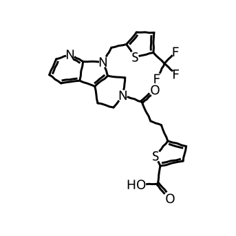 O=C(O)c1ccc(CCC(=O)N2CCc3c(n(Cc4ccc(C(F)(F)F)s4)c4ncccc34)C2)s1